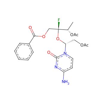 CC(=O)OC[C@@H](O[C@](F)(COC(=O)c1ccccc1)[C@H](C)OC(C)=O)n1ccc(N)nc1=O